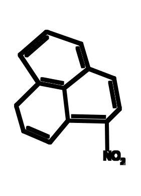 O=[N+]([O-])c1ccc2cccc3c2c1C=CC3